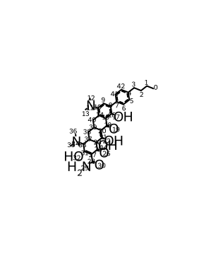 CCCCc1ccc(-c2cc(N(C)C)c3c(c2O)C(=O)C2=C(O)C4(O)C(=O)C(C(N)=O)=C(O)C(N(C)C)C4CC2C3)cc1